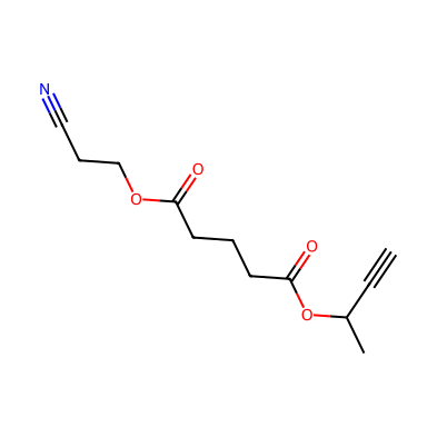 C#CC(C)OC(=O)CCCC(=O)OCCC#N